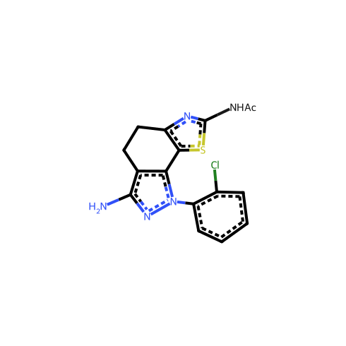 CC(=O)Nc1nc2c(s1)-c1c(c(N)nn1-c1ccccc1Cl)CC2